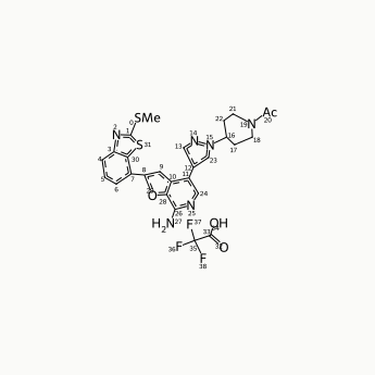 CSc1nc2cccc(-c3cc4c(-c5cnn(C6CCN(C(C)=O)CC6)c5)cnc(N)c4o3)c2s1.O=C(O)C(F)(F)F